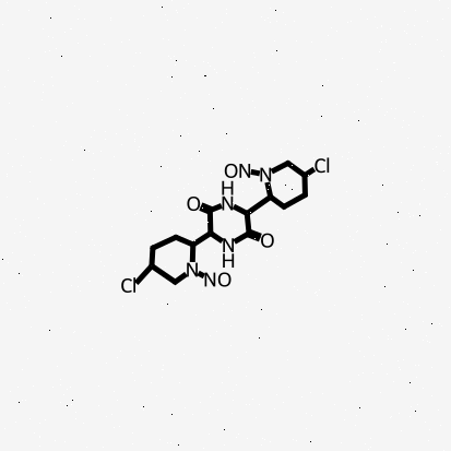 O=NN1CC(Cl)CCC1C1NC(=O)C(C2CCC(Cl)CN2N=O)NC1=O